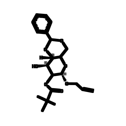 C=CCO[C@H]1OC2COC(c3ccccc3)O[C@H]2[C@H](O)C1OC(=O)C(C)(C)C